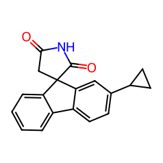 O=C1CC2(C(=O)N1)c1ccccc1-c1ccc(C3CC3)cc12